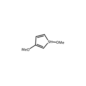 COC1=C[SH](OC)C=C1